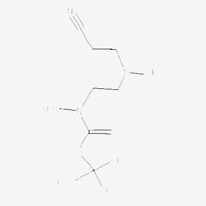 CN(CCC#N)CCN(C)C(=O)OC(C)(C)C